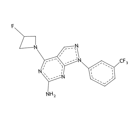 Nc1nc(N2CC(F)C2)c2cnn(-c3cccc(C(F)(F)F)c3)c2n1